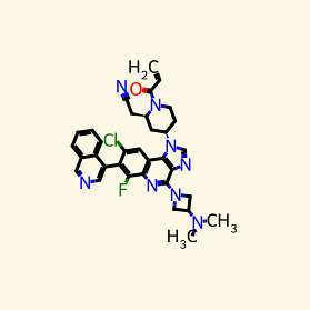 C=CC(=O)N1CC[C@H](n2cnc3c(N4CC(N(C)C)C4)nc4c(F)c(-c5cncc6ccccc56)c(Cl)cc4c32)C[C@H]1CC#N